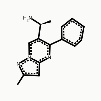 Cc1cc2nc(-c3ccccc3)c([C@H](C)N)cn2n1